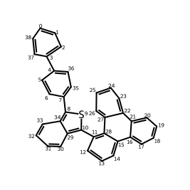 c1ccc(-c2ccc(-c3sc(-c4cccc5c6ccccc6c6ccccc6c45)c4ccccc34)cc2)cc1